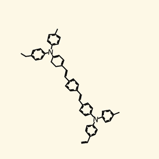 C=Cc1ccc(N(c2ccc(C)cc2)c2ccc(C=Cc3ccc(C=CC4=CC=C(N(c5ccc(C)cc5)c5ccc(CC)cc5)CC4)cc3)cc2)cc1